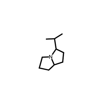 CC(C)C1CCC2CCCN21